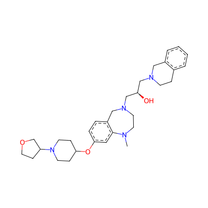 CN1CCN(C[C@H](O)CN2CCc3ccccc3C2)Cc2ccc(OC3CCN(C4CCOC4)CC3)cc21